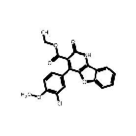 CCOC(=O)c1c(-c2ccc(OC)c(Cl)c2)c2oc3ccccc3c2[nH]c1=O